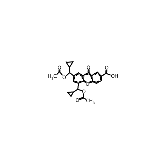 CC(=O)OC(c1cc(C(OC(C)=O)C2CC2)c2oc3ccc(C(=O)O)cc3c(=O)c2c1)C1CC1